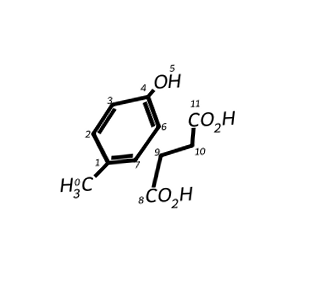 Cc1ccc(O)cc1.O=C(O)CCC(=O)O